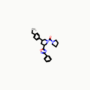 CCc1ccc(C2CC(c3nc(-c4ccccc4)no3)CN(C(=O)N3CCCC3)C2)cc1